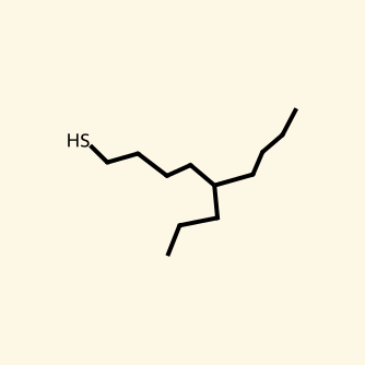 CCCCC(CCC)CCCCS